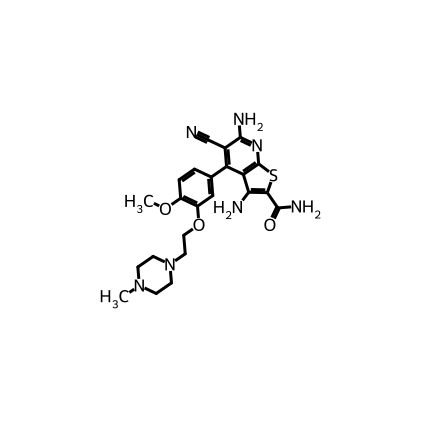 COc1ccc(-c2c(C#N)c(N)nc3sc(C(N)=O)c(N)c23)cc1OCCN1CCN(C)CC1